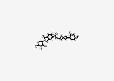 O=C1CCC(N2Cc3cc(C(=O)NC4CC5(C=C(c6ccc(F)cc6F)C5)C4)c(F)cc3C2=O)C(=O)N1